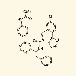 COC(=O)Nc1ccc(-c2cnnc(C(Cc3ccccc3)NC(=O)/C=C/c3cc(Cl)ccc3-n3cnnn3)c2)cc1